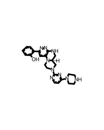 Oc1ccccc1-c1cc2c(nn1)NC[C@H]1CN(c3nccc(N4CCNCC4)n3)CCN21